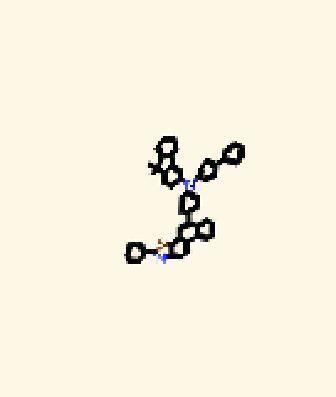 CC1(C)c2ccccc2-c2cc(N(c3ccc(-c4ccccc4)cc3)c3ccc(-c4cc5c(ccc6nc(-c7ccccc7)sc65)c5ccccc45)cc3)ccc21